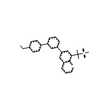 CC(C)(c1cc(-c2cccc(-c3ccc(CO)cc3)c2)cc2cccnc12)S(C)(=O)=O